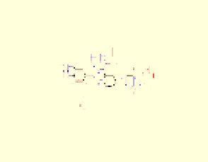 CNC(=O)c1nc(-c2cc3cn(C)nc3c(F)c2OCOC)nc2ccc(N3C[C@@H](C)N(C(=O)O)[C@@H](C)C3)cc12